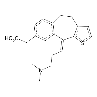 CN(C)CC/C=C1\c2cc(CC(=O)O)ccc2CCc2ccsc21